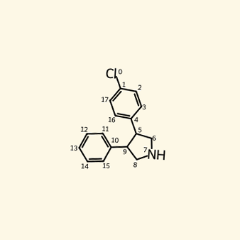 Clc1ccc(C2CNCC2c2ccccc2)cc1